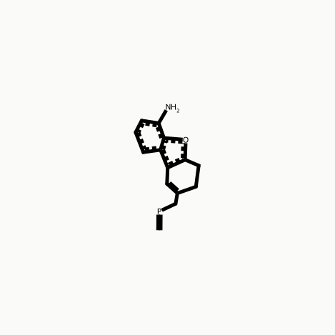 C=PCC1=Cc2c(oc3c(N)cccc23)CC1